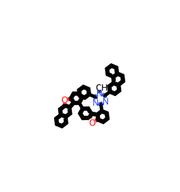 CN1C(c2ccccc2)=NC(c2cccc3oc4ccc(-c5cccc6oc7cc8ccccc8cc7c56)cc4c23)=NC1c1ccc2ccc3ccccc3c2c1